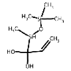 C=CC(O)(O)[SiH](C)O[Si](C)(C)C